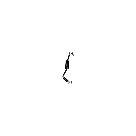 B=NC#CB